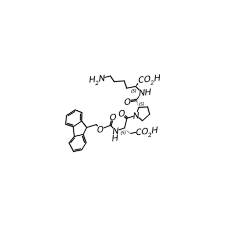 NCCCC[C@H](NC(=O)[C@@H]1CCCN1C(=O)[C@H](CC(=O)O)NC(=O)OCC1c2ccccc2-c2ccccc21)C(=O)O